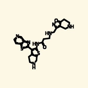 O=C(CCNCc1noc2c1CNCC2)Nc1sc2c(c1-c1nc3cnccc3s1)CCNC2